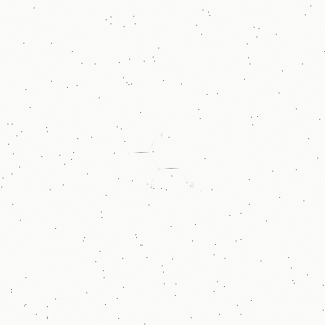 [CH2]CC(O)C(N)CN